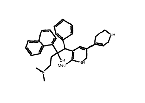 COC1=C(C(c2ccccc2)C(O)(CCN(C)C)c2cccc3ccccc23)C=C(C2=CCNCC2)CN1